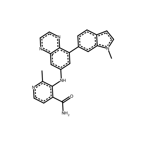 Cc1nccc(C(N)=O)c1Nc1cc(-c2ccc3ccn(C)c3c2)c2nccnc2c1